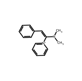 CN(C)C(=Cc1ccccc1)[n+]1ccccc1